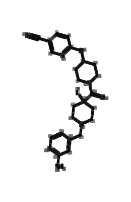 N#Cc1ccc(OC2CCN(C(=O)C3(F)CCN(Cc4ccnc(N)c4)CC3)CC2)nc1